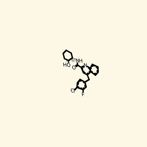 O=C(N[C@H]1CCCC[C@@H]1O)c1cc(Cc2ccc(Cl)c(F)c2)c2ccccc2n1